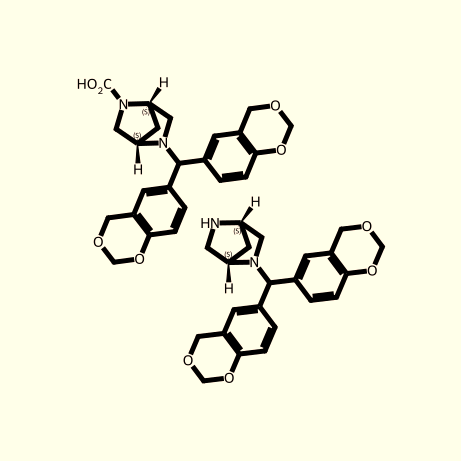 O=C(O)N1C[C@@H]2C[C@H]1CN2C(c1ccc2c(c1)COCO2)c1ccc2c(c1)COCO2.c1cc2c(cc1C(c1ccc3c(c1)COCO3)N1C[C@@H]3C[C@H]1CN3)COCO2